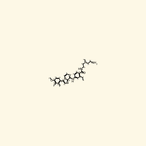 CCc1cc(Nc2nccn3c(-c4ccc(OC)c(F)c4F)cnc23)ccc1C(=O)NCCN(C)CCN